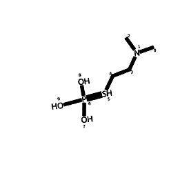 CN(C)CC[SH]=P(O)(O)O